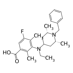 CCN(c1c(C)c(F)cc(C(=O)O)c1C)C1C[C@@H](C)N(Cc2ccccc2)[C@@H](C)C1